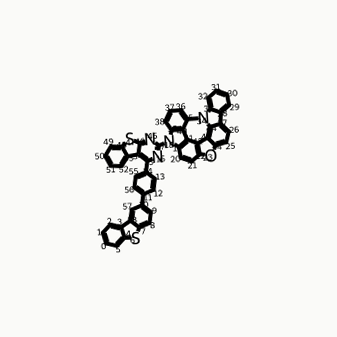 c1ccc2c(c1)sc1ccc(-c3ccc(-c4nc(-n5c6ccc7oc8ccc9c%10ccccc%10n%10c%11cccc5c%11c6c7c8c9%10)nc5sc6ccccc6c45)cc3)cc12